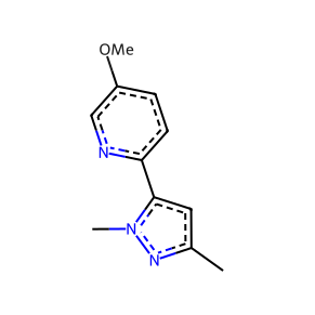 COc1ccc(-c2cc(C)nn2C)nc1